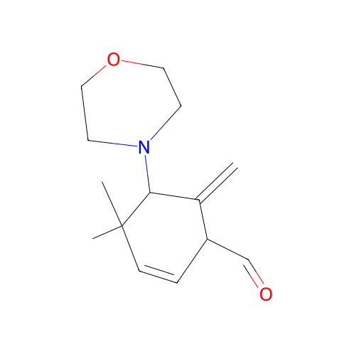 C=C1C(C=O)C=CC(C)(C)C1N1CCOCC1